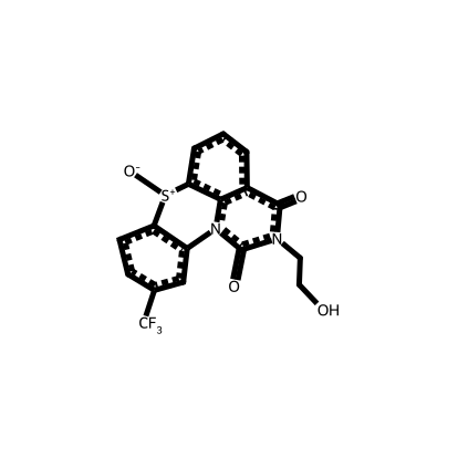 O=c1c2cccc3c2n(c(=O)n1CCO)-c1cc(C(F)(F)F)ccc1[S+]3[O-]